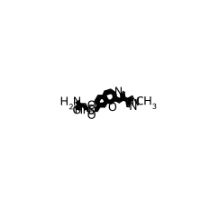 Cn1cc(-c2cnc3ccc4ccc(CS(=O)(=O)NCC(N)=O)cc4c(=O)c3c2)cn1